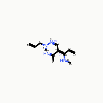 C=CCN(C)/N=C\C(C(C)=N)=C(/C=C)NC